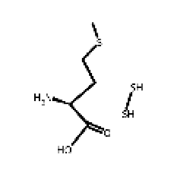 CSCC[C@H](N)C(=O)O.SS